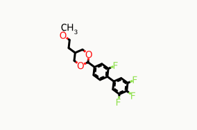 COCCC1COC(c2ccc(-c3cc(F)c(F)c(F)c3)c(F)c2)OC1